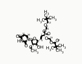 CO[C@H]1C(O)[C@@H](/C=C/P(=O)(OCOCC(C)(C)C)OCOC(=O)C(C)(C)C)O[C@H]1n1ccc(=O)[nH]c1=O